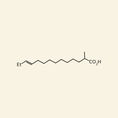 CCC=CCCCCCCCCC(C)C(=O)O